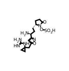 N=C(N)NC1(Cc2cc([C@@H](N)CC[C@@H]3CCC(=O)N3OS(=O)(=O)O)no2)CC1